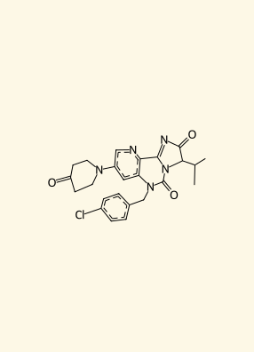 CC(C)C1C(=O)N=C2c3ncc(N4CCC(=O)CC4)cc3N(Cc3ccc(Cl)cc3)C(=O)N21